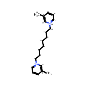 Cc1ccc[n+](CCCCCCCC[n+]2cccc(C)c2)c1